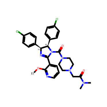 CCOc1ncccc1C1=N[C@@H](c2ccc(Cl)cc2)[C@@H](c2ccc(Cl)cc2)N1C(=O)N1CCN(CC(=O)N(C)C)CC1